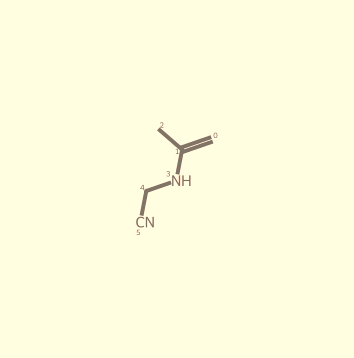 C=C(C)NCC#N